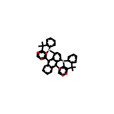 CC1(C)c2ccccc2N(c2ccc(N3c4ccccc4C(C)(C)c4ccccc43)c3c(-c4ccccc4)c4ccccc4c(-c4ccccc4)c23)c2ccccc21